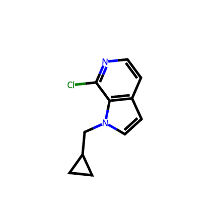 Clc1nccc2ccn(CC3CC3)c12